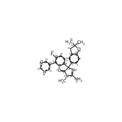 CN1C(=O)C(c2ccc3c(c2)CC(C)(C)O3)(c2ccc(F)c(-c3cncnc3)c2)N=C1N